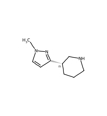 Cn1ccc([C@H]2CCCNC2)n1